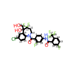 O=C(Nc1ccc(C(=O)N2CCC(F)(F)[C@](O)(CO)c3cc(Cl)ccc32)c(F)c1)c1cc(F)ccc1C(F)(F)F